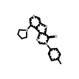 Cc1ccc(-n2cnc3c(sc4cncc(N5CCCC5)c43)c2=O)cc1